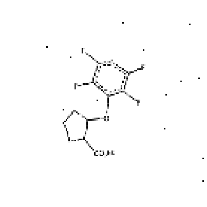 CCOC(=O)C1CCCC1Oc1c(F)c(F)nc(F)c1F